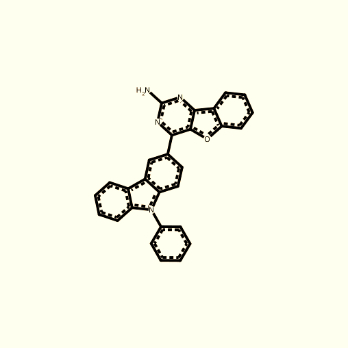 Nc1nc(-c2ccc3c(c2)c2ccccc2n3-c2ccccc2)c2oc3ccccc3c2n1